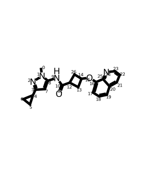 Cn1nc(C2CC2)cc1NC(=O)C1CC(Oc2cccc3cccnc23)C1